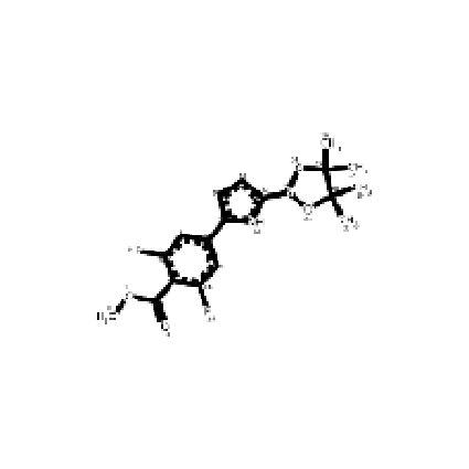 COC(=O)c1c(F)cc(-c2ccc(B3OC(C)(C)C(C)(C)O3)[nH]2)cc1F